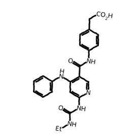 CCNC(=O)Nc1cc(Nc2ccccc2)c(C(=O)Nc2ccc(CC(=O)O)cc2)cn1